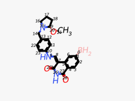 Bc1ccc2c(c1)/C(=C/Nc1ccc(CN3CCC[C@@H]3OC)cc1)C(=O)NC2=O